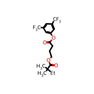 CCC(C)(C)C(=O)OCCCC(=O)Oc1cc(C(F)(F)F)cc(C(F)(F)F)c1